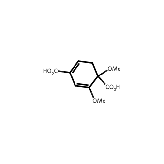 COC1=CC(C(=O)O)=CCC1(OC)C(=O)O